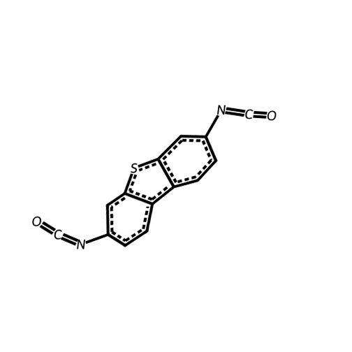 O=C=Nc1ccc2c(c1)sc1cc(N=C=O)ccc12